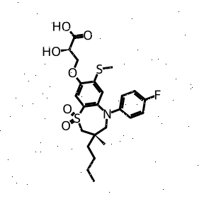 CCCC[C@@]1(C)CN(c2ccc(F)cc2)c2cc(SC)c(OC[C@@H](O)C(=O)O)cc2S(=O)(=O)C1